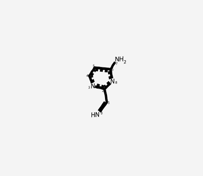 N=Cc1nccc(N)n1